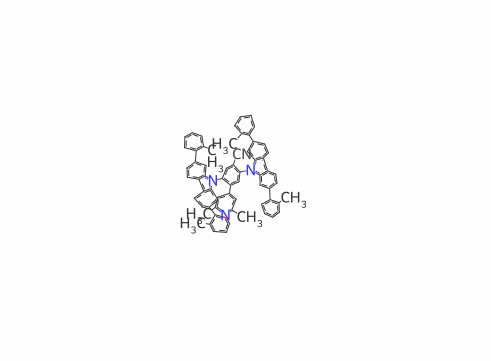 Cc1cc(-c2cc(-n3c4cc(-c5ccccc5C)ccc4c4ccc(-c5ccccc5C)cc43)c(C#N)cc2-n2c3cc(-c4ccccc4C)ccc3c3ccc(-c4ccccc4C)cc32)cc(C)n1